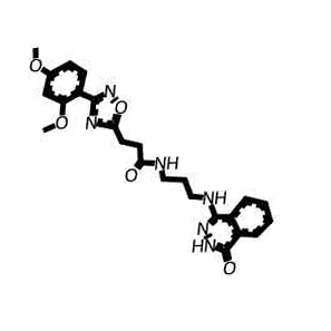 COc1ccc(-c2noc(CCC(=O)NCCCNc3n[nH]c(=O)c4ccccc34)n2)c(OC)c1